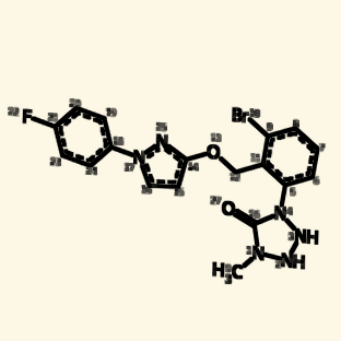 CN1NNN(c2cccc(Br)c2COc2ccn(-c3ccc(F)cc3)n2)C1=O